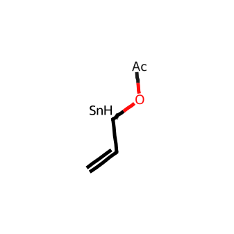 C=CCOC(C)=O.[SnH4]